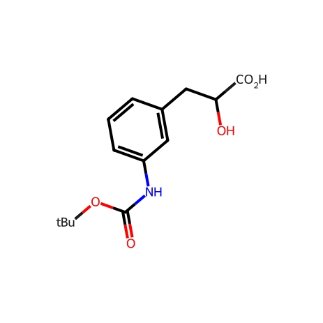 CC(C)(C)OC(=O)Nc1cccc(CC(O)C(=O)O)c1